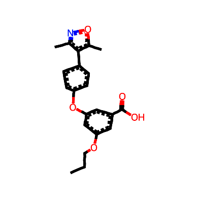 CCCOc1cc(Oc2ccc(-c3c(C)noc3C)cc2)cc(C(=O)O)c1